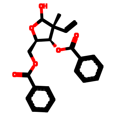 C=C[C@@]1(C)C(O)O[C@H](COC(=O)c2ccccc2)[C@H]1OC(=O)c1ccccc1